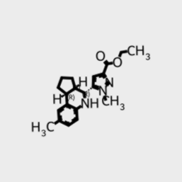 CCOC(=O)c1cc([C@@H]2Nc3ccc(C)cc3[C@@H]3CCC[C@@H]32)n(C)n1